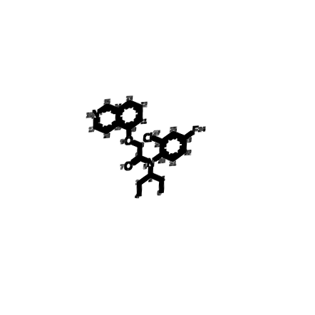 CCC(CC)N(C(=O)COc1cccc2cnccc12)c1ccc(F)cc1Cl